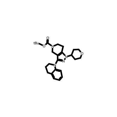 CC(C)(C)OC(=O)N1CCc2c(c(N3CCCc4ccccc43)nn2C2CCOCC2)C1